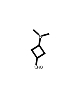 CN(C)C1CC(C=O)C1